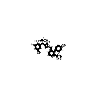 CC(C)(F)[C@H](c1cc(F)cc(C#N)c1)C1CN(Cc2cccc(-c3ncon3)c2-c2ccc(C#N)cc2)C1